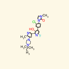 Cc1ncc(-c2nc(F)cc(-c3ccc(-n4ccn(C)c4=O)c(Cl)c3)c2O)cc1N1CCN(C(C)(C)C)CC1